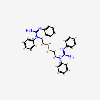 NC(=Nc1ccccc1)N(CCSSCCN(C(N)=Nc1ccccc1)c1ccccc1)c1ccccc1